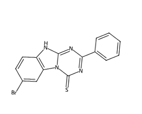 S=c1nc(-c2ccccc2)nc2[nH]c3ccc(Br)cc3n12